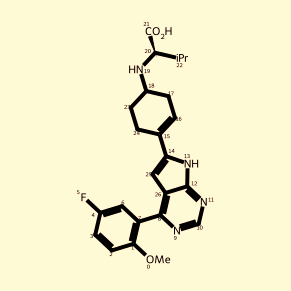 COc1ccc(F)cc1-c1ncnc2[nH]c(C3=CCC(N[C@@H](C(=O)O)C(C)C)CC3)cc12